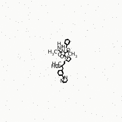 CC(OCc1ccccc1)[C@H](NC(=O)[C@H](C)N)C(=O)N1CCC[C@H]1/C=C/[C@](C)(CO)Cc1cccc(-c2ncccn2)c1